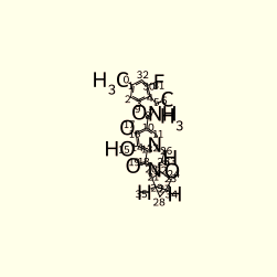 Cc1ccc([C@@H](C)NC(=O)c2cn3c(c(O)c2=O)C(=O)N2C4CC(O[C@H]2C3)[C@@H]2C[C@H]42)c(F)c1